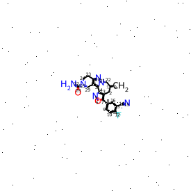 C=C1Cc2c(noc2-c2ccc(F)c(C#N)c2)-c2c3c(nn2C1)CCN(C(N)=O)C3